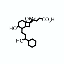 COC12CCC(O)C(CCC(O)C3CCCCC3)C1CC2=CCCC(=O)O